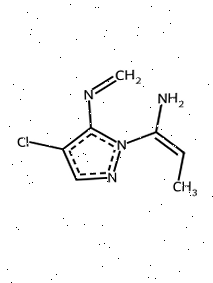 C=Nc1c(Cl)cnn1/C(N)=C\C